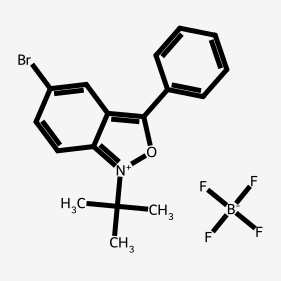 CC(C)(C)[n+]1oc(-c2ccccc2)c2cc(Br)ccc21.F[B-](F)(F)F